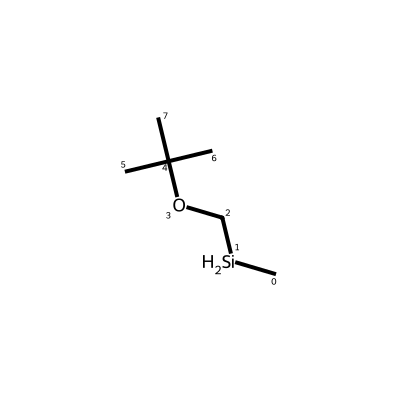 C[SiH2]COC(C)(C)C